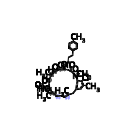 C/C1=C\C=C\[C@@H](C)[C@@]2(O)C[C@H](OC(=O)N2)[C@@H](C)[C@@H]2O[C@@]2(C)[C@@H](OC(=O)CCc2ccc(C)cc2)CC(=O)N(C)c2cc(cc(C)c2Cl)C1